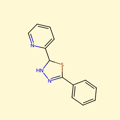 c1ccc(C2=NNC(c3ccccn3)S2)cc1